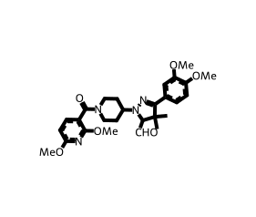 COc1ccc(C(=O)N2CCC(N3N=C(c4ccc(OC)c(OC)c4)C(C)(C)C3C=O)CC2)c(OC)n1